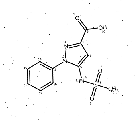 CS(=O)(=O)Nc1cc(C(=O)O)nn1-c1ccccc1